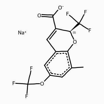 Cc1cc(OC(F)(F)F)cc2c1O[C@H](C(F)(F)F)C(C(=O)[O-])=C2.[Na+]